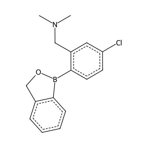 CN(C)Cc1cc(Cl)ccc1B1OCc2ccccc21